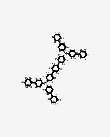 c1ccc(-c2ccc(N(c3ccc(-c4ccccc4)cc3)c3ccc(-c4ccc(-c5ccc(N(c6ccc(-c7ccccc7)cc6)c6ccc(-c7ccccc7)cc6)cc5)cc4)cc3)cc2)cc1